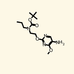 CCCN(CCOc1ncc(N)c(OC)n1)C(=O)OC(C)(C)C